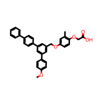 COc1ccc(-c2cc(COc3ccc(OCC(=O)O)c(C)c3)cc(-c3ccc(-c4ccccc4)cc3)c2)cc1